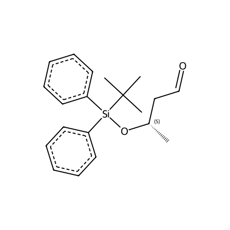 C[C@@H](CC=O)O[Si](c1ccccc1)(c1ccccc1)C(C)(C)C